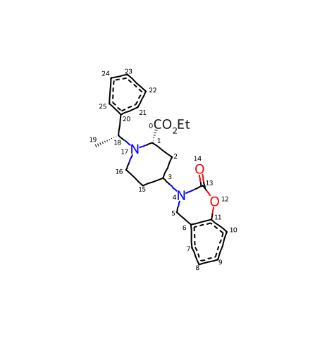 CCOC(=O)[C@@H]1CC(N2Cc3ccccc3OC2=O)CCN1[C@H](C)c1ccccc1